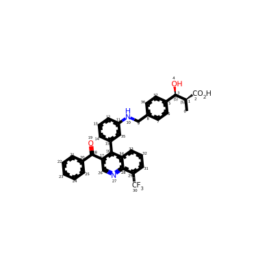 C[C@H](C(=O)O)[C@H](O)c1ccc(CNc2cccc(-c3c(C(=O)c4ccccc4)cnc4c(C(F)(F)F)cccc34)c2)cc1